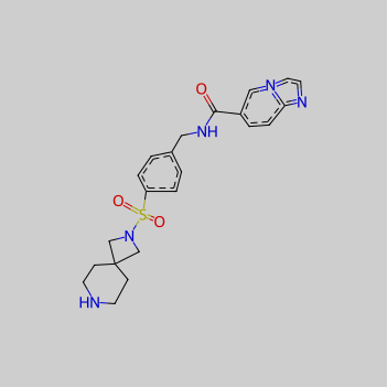 O=C(NCc1ccc(S(=O)(=O)N2CC3(CCNCC3)C2)cc1)c1ccc2nccn2c1